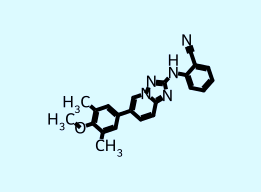 COc1c(C)cc(-c2ccc3nc(Nc4ccccc4C#N)nn3c2)cc1C